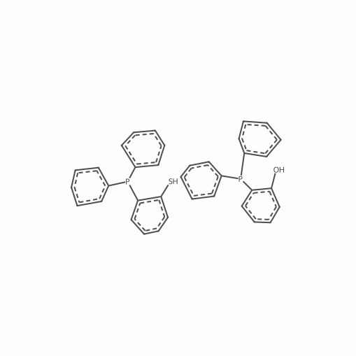 Oc1ccccc1P(c1ccccc1)c1ccccc1.Sc1ccccc1P(c1ccccc1)c1ccccc1